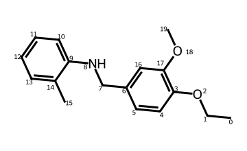 CCOc1ccc(CNc2ccccc2C)cc1OC